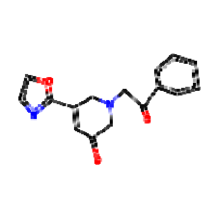 O=C1C=C(c2ncco2)CN(CC(=O)c2ccccc2)C1